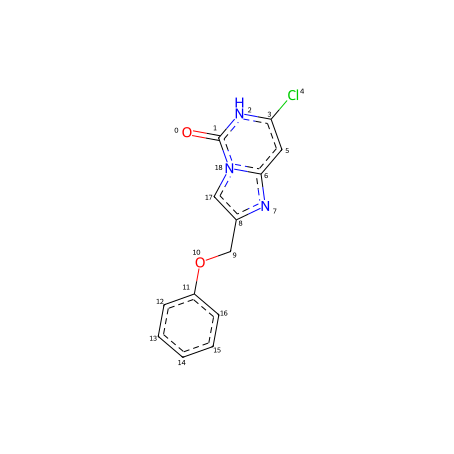 O=c1[nH]c(Cl)cc2nc(COc3ccccc3)cn12